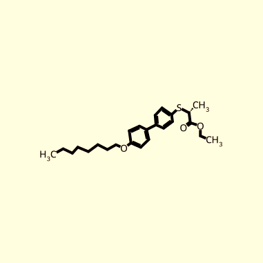 CCCCCCCCOc1ccc(-c2ccc(S[C@H](C)C(=O)OCC)cc2)cc1